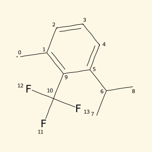 [CH2]c1cccc(C(C)C)c1C(F)(F)F